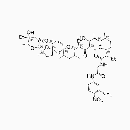 CCC(C(=O)NCC(=O)Nc1ccc([N+](=O)[O-])c(C(F)(F)F)c1)[C@H]1CC[C@H](C)[C@H](C(C)C(O)[C@H](C)C(=O)[C@H](CC)[C@H]2O[C@]3(C=C[C@@H](OC(C)=O)[C@]4(CC[C@@](C)([C@H]5CC[C@](O)(CC)C(C)O5)O4)O3)C(C)CC2C)O1